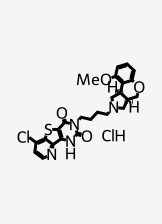 COc1cccc2c1[C@@H]1CN(CCCCn3c(=O)[nH]c4c(sc5c(Cl)ccnc54)c3=O)C[C@@H]1CO2.Cl